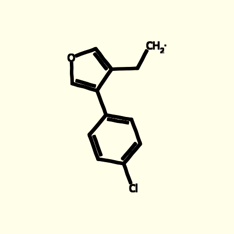 [CH2]Cc1cocc1-c1ccc(Cl)cc1